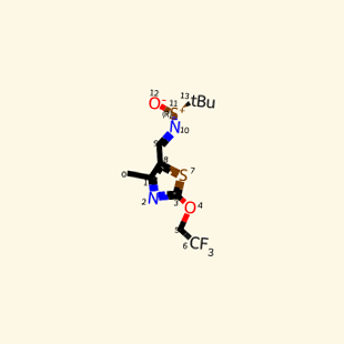 Cc1nc(OCC(F)(F)F)sc1C=N[S@@+]([O-])C(C)(C)C